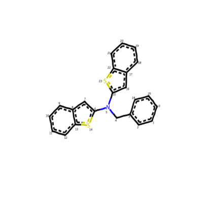 c1ccc(CN(c2cc3ccccc3s2)c2cc3ccccc3s2)cc1